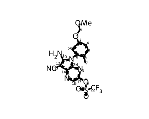 COCOc1ccc(C)c(-n2c(N)c(C#N)c3ncc(OS(=O)(=O)C(F)(F)F)nc32)c1